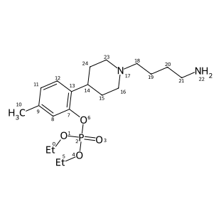 CCOP(=O)(OCC)Oc1cc(C)ccc1C1CCN(CCCCN)CC1